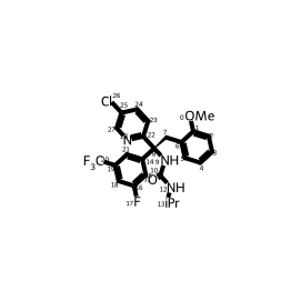 COc1ccccc1C[C@@](NC(=O)NC(C)C)(c1cc(F)cc(C(F)(F)F)c1)c1ccc(Cl)cn1